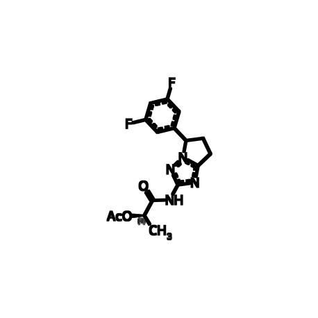 CC(=O)O[C@H](C)C(=O)Nc1nc2n(n1)C(c1cc(F)cc(F)c1)CC2